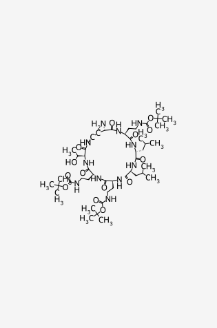 CC(C)C[C@@H]1NC(=O)[C@@H](CC(C)C)NC(=O)[C@H](CCNC(=O)OC(C)(C)C)NC(=O)[C@@H](N)CCNC(=O)[C@H](C(C)O)NC(=O)[C@H](CCNC(=O)OC(C)(C)C)NC(=O)[C@H](CCNC(=O)OC(C)(C)C)NC1=O